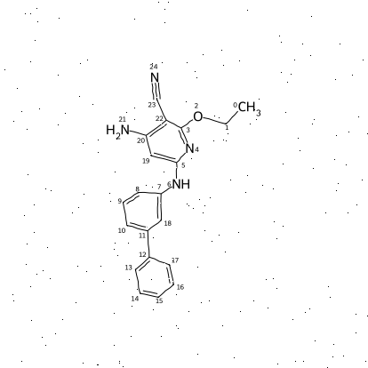 CCOc1nc(Nc2cccc(-c3ccccc3)c2)cc(N)c1C#N